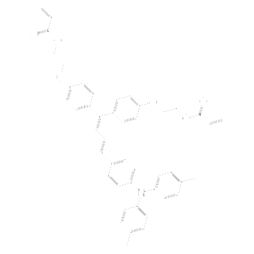 C=CC(=O)OCCOc1ccc(C(=CC=Cc2ccc(N(c3ccc(C)cc3)c3ccc(C)cc3)cc2)c2ccc(OCCOC(=O)C=C)cc2)cc1